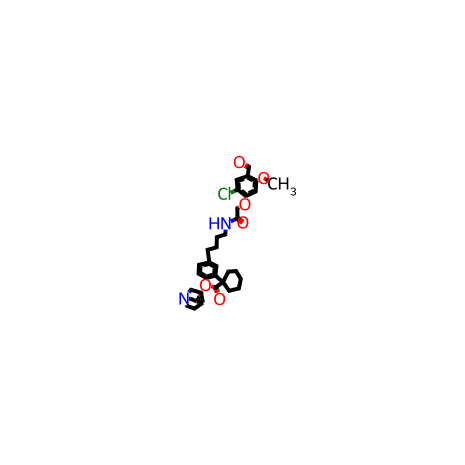 COc1cc(OCC(=O)NCCCCc2cccc(C3(C(=O)OC4CN5CCC4CC5)CCCCC3)c2)c(Cl)cc1C=O